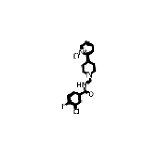 O=C(NCN1CCC(c2cccc[n+]2[O-])CC1)c1ccc(F)c(Cl)c1